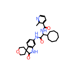 Cc1ncccc1C(=O)NC(C(=O)Nc1ccc2c(c1)NC(=O)C21CCOCC1)C1CCCCCCC1